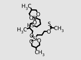 CC(=S)OCCC[Si]1(OCC(C)CO[Si]2(CCCS)OCC(C)CO2)OCC(C)CO1